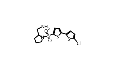 NCC1CCCN1S(=O)(=O)c1ccc(-c2ccc(Cl)s2)s1